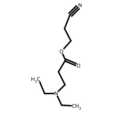 CCN(CC)CCC(=O)OCCC#N